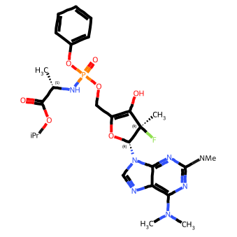 CNc1nc(N(C)C)c2ncn([C@@H]3OC(COP(=O)(N[C@@H](C)C(=O)OC(C)C)Oc4ccccc4)=C(O)[C@@]3(C)F)c2n1